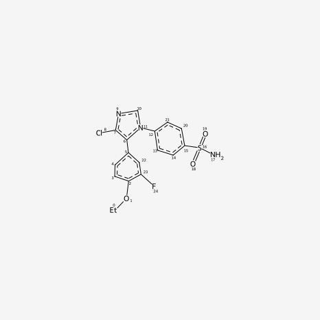 CCOc1ccc(-c2c(Cl)ncn2-c2ccc(S(N)(=O)=O)cc2)cc1F